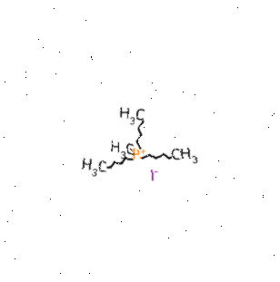 CCCCCC[P+](C)(CCCCCC)CCCCCC.[I-]